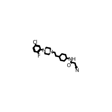 N#CCC(=O)NC1CCC(CCN2CCN(c3cc(Cl)ccc3F)CC2)CC1